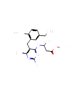 CCCCC(CC(=O)OC(C)(C)C)Nc1nc(N)nc(C)c1Cc1cc(CC#N)ccc1OC